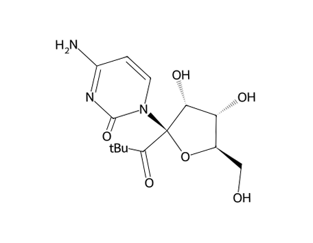 CC(C)(C)C(=O)[C@@]1(n2ccc(N)nc2=O)O[C@H](CO)[C@@H](O)[C@H]1O